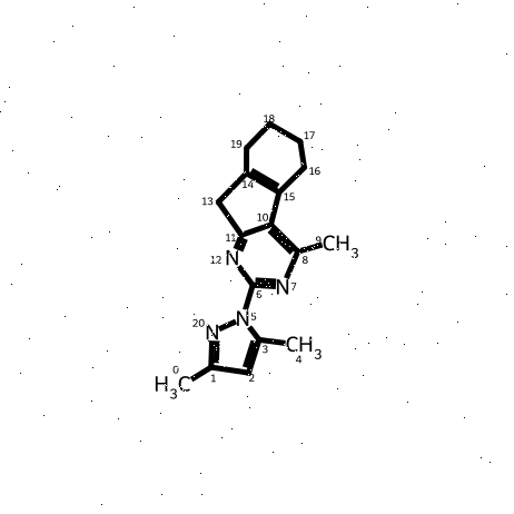 Cc1cc(C)n(-c2nc(C)c3c(n2)CC2=C3CCCC2)n1